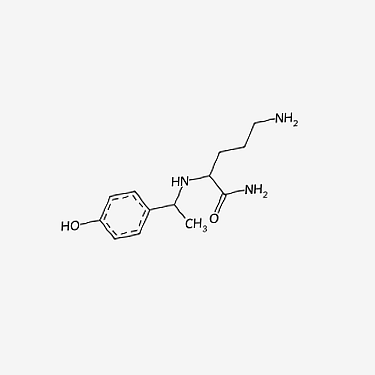 CC(NC(CCCN)C(N)=O)c1ccc(O)cc1